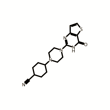 N#CC1CCC(N2CCN(c3nc4ccsc4c(=O)[nH]3)CC2)CC1